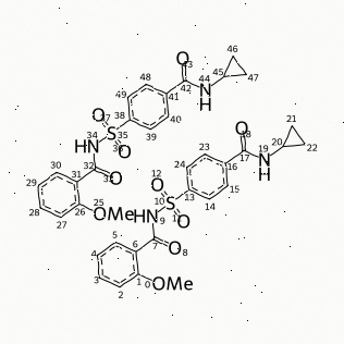 COc1ccccc1C(=O)NS(=O)(=O)c1ccc(C(=O)NC2CC2)cc1.COc1ccccc1C(=O)NS(=O)(=O)c1ccc(C(=O)NC2CC2)cc1